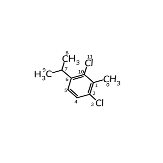 Cc1c(Cl)ccc(C(C)C)c1Cl